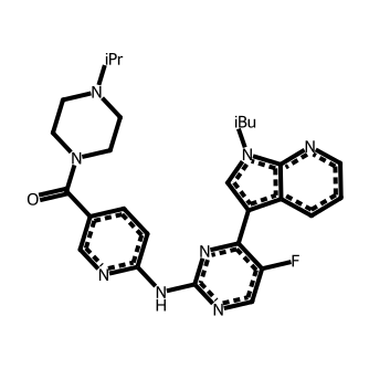 CCC(C)n1cc(-c2nc(Nc3ccc(C(=O)N4CCN(C(C)C)CC4)cn3)ncc2F)c2cccnc21